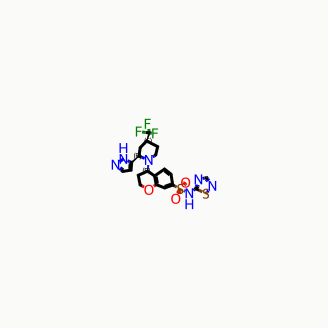 O=S(=O)(Nc1ncns1)c1ccc2c(c1)OCC[C@H]2N1CC[C@H](C(F)(F)F)C[C@@H]1c1ccn[nH]1